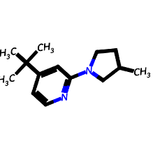 CC1CCN(c2cc(C(C)(C)C)ccn2)C1